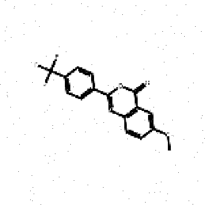 COc1ccc2nc(-c3ccc(C(F)(F)F)cc3)oc(=O)c2c1